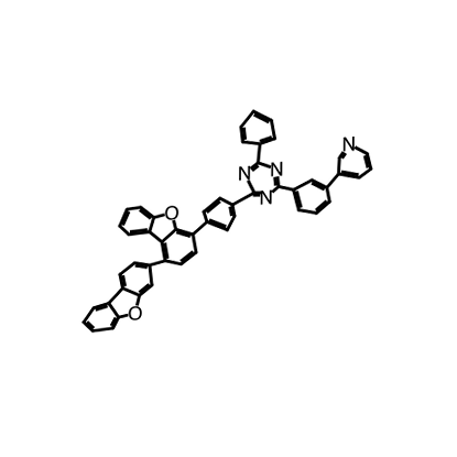 c1ccc(-c2nc(-c3ccc(-c4ccc(-c5ccc6c(c5)oc5ccccc56)c5c4oc4ccccc45)cc3)nc(-c3cccc(-c4cccnc4)c3)n2)cc1